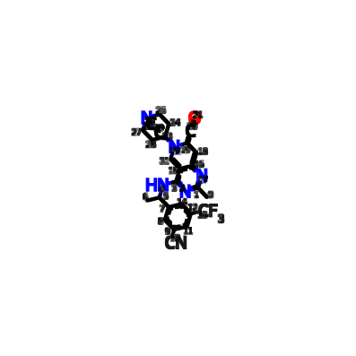 Cc1nc(NC(C)c2cc(C#N)cc(C(F)(F)F)c2)c2c(n1)=CC(=C=O)N(C13CCN(CC1)CC3)C=2